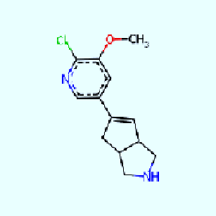 COc1cc(C2=CC3CNCC3C2)cnc1Cl